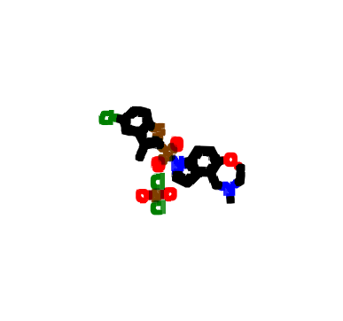 Cc1c(S(=O)(=O)n2ccc3c4c(ccc32)OCCN(C)C4)sc2ccc(Cl)cc12.O=S(=O)(Cl)Cl